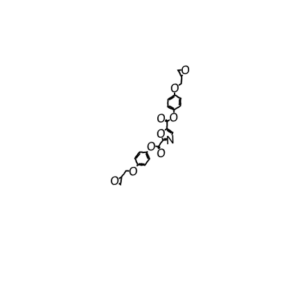 O=C(Oc1ccc(OCC2CO2)cc1)c1cnc(C(=O)Oc2ccc(OCC3CO3)cc2)o1